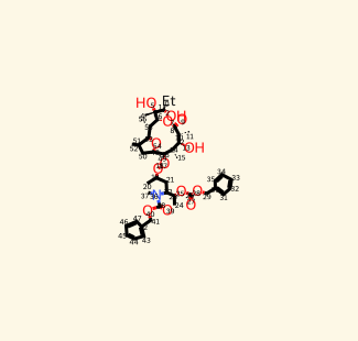 CC[C@@H](O)[C@@](C)(O)[C@@H]1OC(=O)[C@H](C)[C@@H](O)[C@H](C)[C@@H](OOC(C)CC(C(C)OC(=O)OCc2ccccc2)N(C)C(=O)OCc2ccccc2)[C@@]2(C)CC(C)C(O2)[C@@H]1C